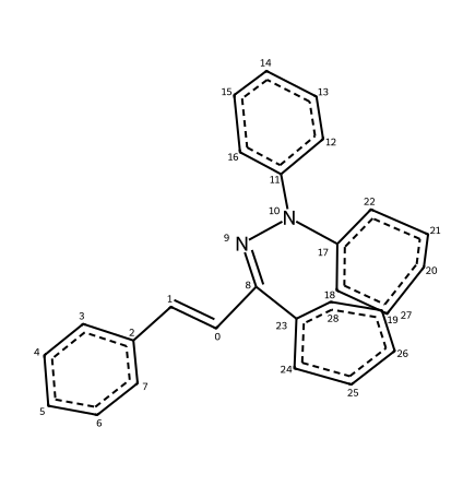 C(=Cc1ccccc1)C(=NN(c1ccccc1)c1ccccc1)c1ccccc1